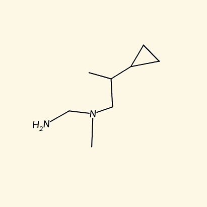 CC(CN(C)CN)C1CC1